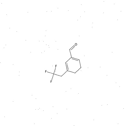 O=CC1=CCCC(CC(F)(F)F)=C1